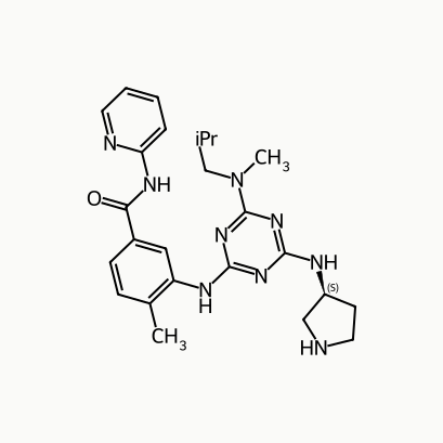 Cc1ccc(C(=O)Nc2ccccn2)cc1Nc1nc(N[C@H]2CCNC2)nc(N(C)CC(C)C)n1